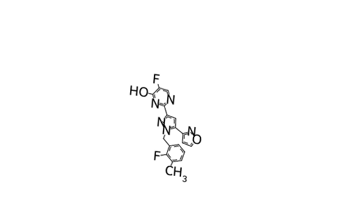 Cc1cccc(Cn2nc(-c3ncc(F)c(O)n3)cc2-c2ccon2)c1F